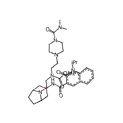 COC(=O)N(CCN1CCN(C(=O)N(C)C)CC1)CCN1C2CCC1CC(NC(=O)c1cc3ccccc3n(C(C)C)c1=O)C2